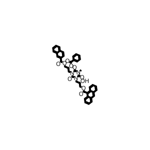 Cn1c(=O)n(CC(O)COC(=O)c2c3ccccc3cc3ccccc23)c(=O)n(CC(COC(=O)c2ccc3ccccc3c2)OC(=O)c2ccccc2)c1=O